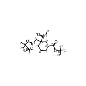 COC(=O)C1(CB2OC(C)(C)C(C)(C)O2)CCCN(C(=O)OC(C)(C)C)C1